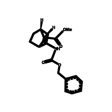 COC(=O)[C@@H]1C(NC(=O)OCc2ccccc2)C2C=C[C@H]1CC2